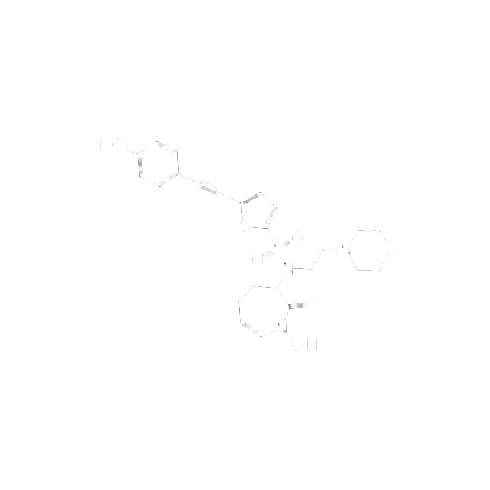 Cc1ccc(C#Cc2ccc(S(=O)(=O)N(CCN3CCOCC3)C3CCC=CN(O)C3=O)s2)cc1